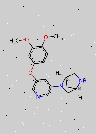 COc1ccc(Oc2cncc(N3C[C@H]4C[C@@H]3CN4)c2)cc1OC